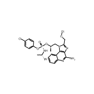 CCOCc1nc2c(N)nc3ccccc3c2n1C[C@@H](C)O[P@@](=O)(N[C@@H](C)C(C)C)Oc1ccc(Cl)cc1